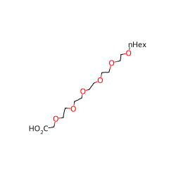 CCCCCCOCCOCCOCCOCCOCCOCC(=O)O